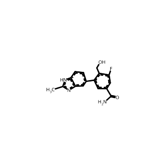 Cc1nc2cc(-c3cc(C(N)=O)cc(F)c3CO)ccc2[nH]1